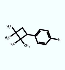 CC1(C)CC(c2ccc(Br)cc2)C1(C)C